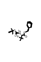 CC(C)(C)OC(=O)N[C@H](C(=O)OCc1ccccc1)C(C)(F)F